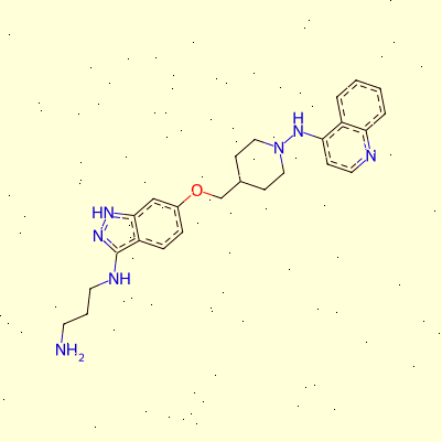 NCCCNc1n[nH]c2cc(OCC3CCN(Nc4ccnc5ccccc45)CC3)ccc12